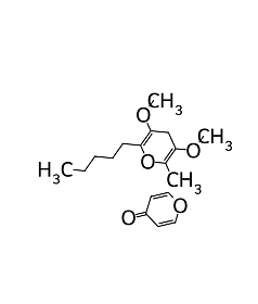 CCCCCC1=C(OC)CC(OC)=C(C)O1.O=c1ccocc1